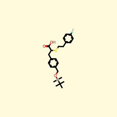 CC(C)(C)[Si](C)(C)OCc1ccc(CC(SCCc2ccc(F)cc2)C(=O)O)cc1